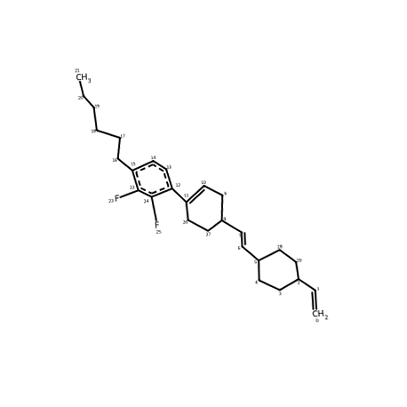 C=CC1CCC(/C=C/C2CC=C(c3ccc(CCCCCC)c(F)c3F)CC2)CC1